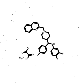 Fc1ccc(C(Nc2ccc(F)c(F)c2)C2CCN(Cc3ccc4ccccc4n3)CC2)cc1.O.O=C(O)C(=O)O